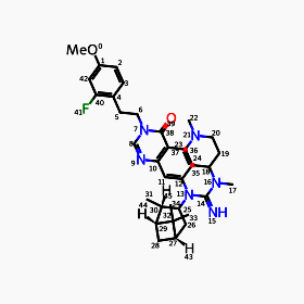 COc1ccc(CCn2cnc3cc(N(C(=N)N(C)C4CCN(C)CC4)C4C[C@@H]5C[C@H]([C@@H]4C)C5(C)C)ccc3c2=O)c(F)c1